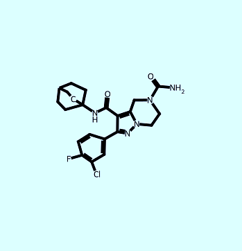 NC(=O)N1CCn2nc(-c3ccc(F)c(Cl)c3)c(C(=O)NC34CCC(CC3)CC4)c2C1